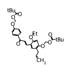 C=CCc1cc(C=CC(=O)c2ccc(OCOC(=O)C(C)(C)C)cc2)c(OCC)cc1OCOC(=O)C(C)(C)C